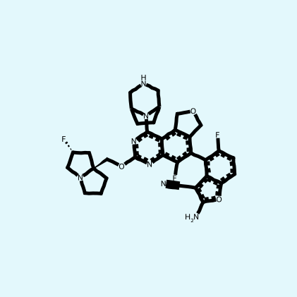 N#Cc1c(N)oc2ccc(F)c(-c3c4c(c5c(N6C7CCC6CNC7)nc(OC[C@@]67CCCN6C[C@H](F)C7)nc5c3F)COC4)c12